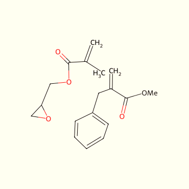 C=C(C)C(=O)OCC1CO1.C=C(Cc1ccccc1)C(=O)OC